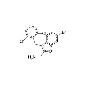 NCc1oc2cc(Br)ccc2c1Cc1c(Cl)cccc1Cl